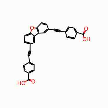 O=C(O)c1ccc(C#Cc2ccc3oc4ccc(C#Cc5ccc(C(=O)O)cc5)cc4c3c2)cc1